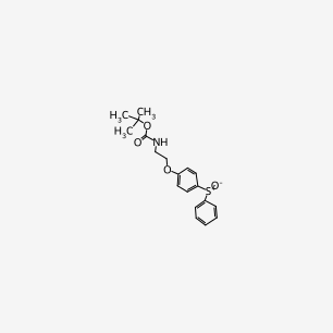 CC(C)(C)OC(=O)NCCOc1ccc([S+]([O-])c2ccccc2)cc1